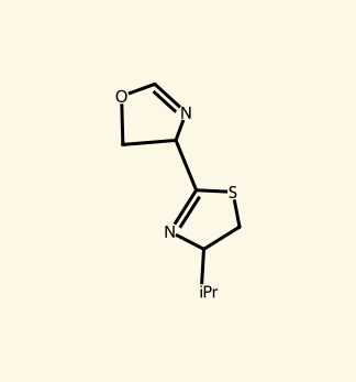 CC(C)C1CSC(C2COC=N2)=N1